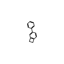 c1ccc(-c2ccc3c(c2)CC3)cc1